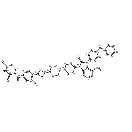 Nc1ncnc2c1n(-c1ccc(Oc3ccccc3)cc1)c(=O)n2C1CCN(C2CCN(C3CN(c4ccc(NC5CCC(=O)NC5=O)cc4F)C3)CC2)CC1